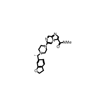 CNC(=O)c1cnc2cnc(N3CCN([C@@H](C)c4ccc5c(c4)OCC5)CC3)cn12